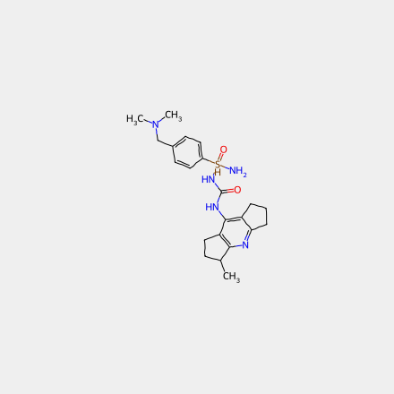 CC1CCc2c1nc1c(c2NC(=O)N[SH](N)(=O)c2ccc(CN(C)C)cc2)CCC1